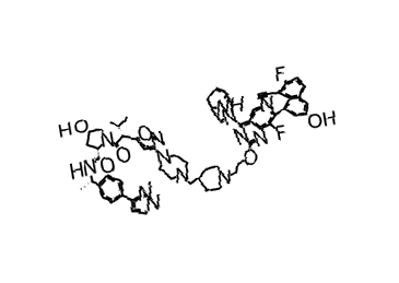 C#Cc1c(F)ccc2cc(O)cc(-c3ncc4c(N5CC6CCC(C5)N6)nc(OCCN5CCC(CN6CCN(c7cc([C@H](C(=O)N8C[C@H](O)C[C@H]8C(=O)N[C@@H](C)c8ccc(-c9ccnn9C)cc8)C(C)C)on7)CC6)CC5)nc4c3F)c12